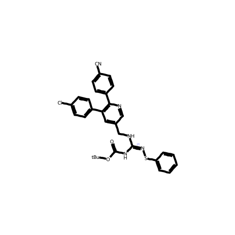 CC(C)(C)OC(=O)N/C(=N\Sc1ccccc1)NCc1cnc(-c2ccc(C#N)cc2)c(-c2ccc(Cl)cc2)c1